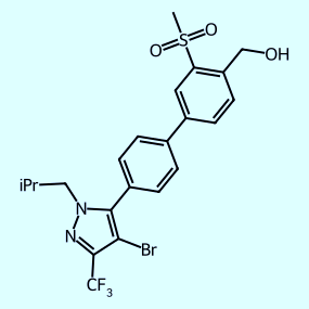 CC(C)Cn1nc(C(F)(F)F)c(Br)c1-c1ccc(-c2ccc(CO)c(S(C)(=O)=O)c2)cc1